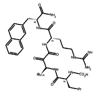 CC[C@H](C)C(NC(=O)[C@H](CC(C)C)NC(=O)O)C(=O)C(=O)N[C@@H](CCCNC(=N)N)C(=O)N[C@H](Cc1ccc2ccccc2c1)C(N)=O